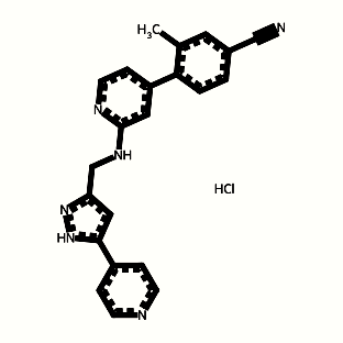 Cc1cc(C#N)ccc1-c1ccnc(NCc2cc(-c3ccncc3)[nH]n2)c1.Cl